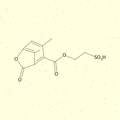 Cc1cc2c(C)c(c1C(=O)OCCS(=O)(=O)O)C(=O)O2